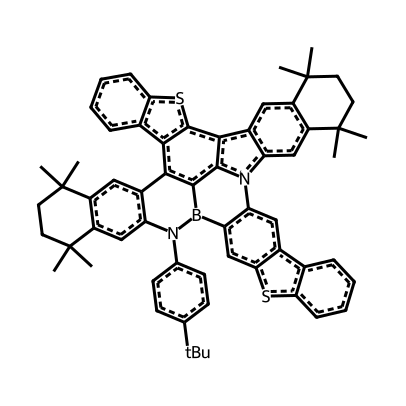 CC(C)(C)c1ccc(N2B3c4cc5sc6ccccc6c5cc4-n4c5cc6c(cc5c5c7sc8ccccc8c7c(c3c54)-c3cc4c(cc32)C(C)(C)CCC4(C)C)C(C)(C)CCC6(C)C)cc1